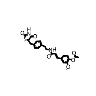 COc1cc(C=CC(=O)NCCc2ccc(CC3SC(=O)NC3=O)cc2)ccc1OC(C)=O